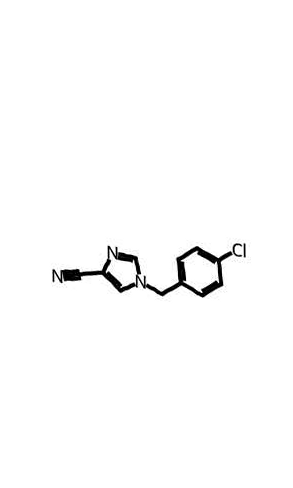 N#Cc1cn(Cc2ccc(Cl)cc2)cn1